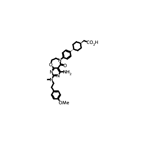 COc1ccc(CCN(C)c2nc(N)c3c(n2)OCCN(c2ccc([C@H]4CC[C@H](CC(=O)O)CC4)cc2)C3=O)cc1